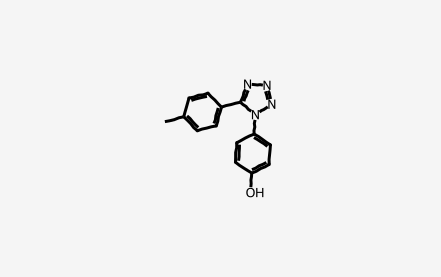 Cc1ccc(-c2nnnn2-c2ccc(O)cc2)cc1